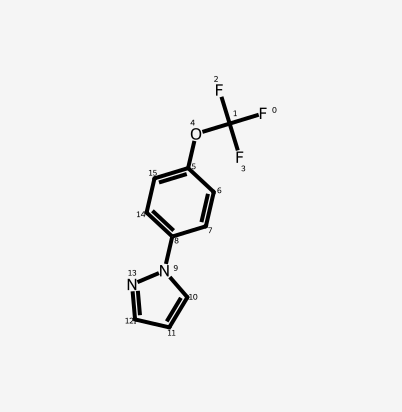 FC(F)(F)Oc1ccc(-n2cc[c]n2)cc1